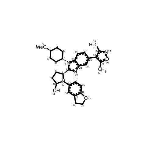 CO[C@H]1CC[C@H](n2c([C@@H]3CCC(O)N3c3ccc4c(c3)CCO4)nc3cc(-c4c(C)noc4C)ccc32)CC1